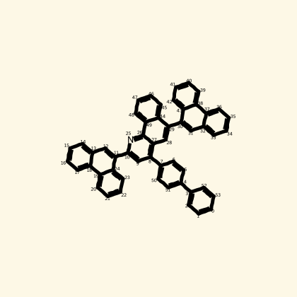 c1ccc(-c2ccc(-c3cc(-c4cc5ccccc5c5ccccc45)nc4c3cc(-c3cc5ccccc5c5ccccc35)c3ccccc34)cc2)cc1